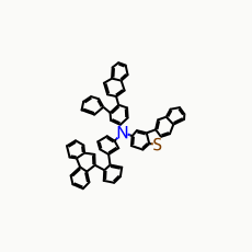 c1ccc(-c2cc(N(c3cccc(-c4ccccc4-c4cc5ccccc5c5ccccc45)c3)c3ccc4sc5cc6ccccc6cc5c4c3)ccc2-c2ccc3ccccc3c2)cc1